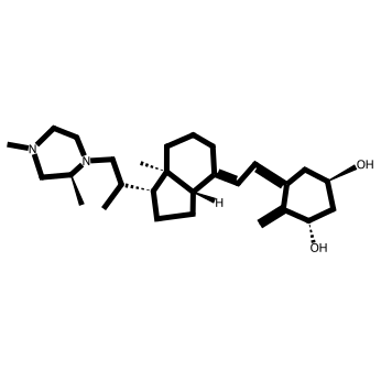 C=C1/C(=C\C=C2/CCC[C@]3(C)[C@@H](C(C)CN4CCN(C)C[C@@H]4C)CC[C@@H]23)C[C@@H](O)C[C@@H]1O